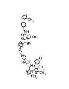 Cc1ncsc1-c1ccc(CNC(=O)C2CC(O)CN2C(=O)[C@H](c2cc(OCCN3CC[C@@H](NC(=O)C[C@@H]4N=C(c5ccc(Cl)cc5)c5c(sc(C)c5C)-n5c(C)nnc54)C3)no2)C(C)C)cc1